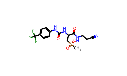 CS(=O)(=O)CC(NC(=O)Nc1ccc(C(F)(F)F)cc1)C(=O)NCCC#N